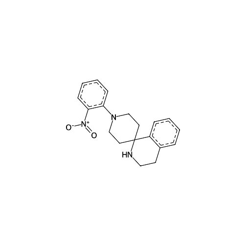 O=[N+]([O-])c1ccccc1N1CCC2(CC1)NCCc1ccccc12